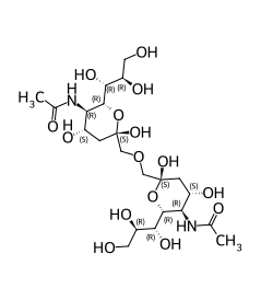 CC(=O)N[C@H]1[C@H]([C@H](O)[C@H](O)CO)O[C@](O)(COC[C@]2(O)C[C@H](O)[C@@H](NC(C)=O)[C@H]([C@H](O)[C@H](O)CO)O2)C[C@@H]1O